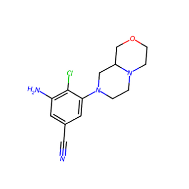 N#Cc1cc(N)c(Cl)c(N2CCN3CCOCC3C2)c1